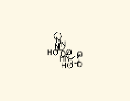 O=C(NC1=CC(=O)C2OC2C1O)Oc1cnc(N2CCCCC2)nc1O